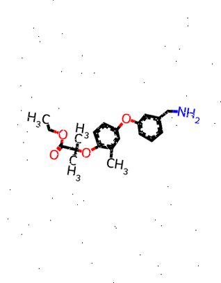 CCOC(=O)C(C)(C)Oc1ccc(Oc2cccc(CN)c2)cc1C